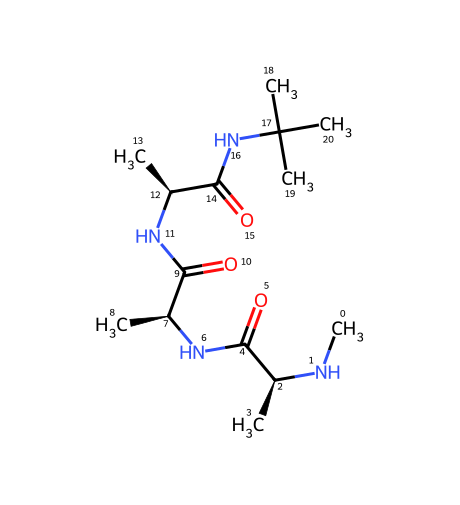 CN[C@@H](C)C(=O)N[C@@H](C)C(=O)N[C@@H](C)C(=O)NC(C)(C)C